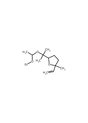 C=CC1(C)CCC(C(C)(C)OC(C)OCC)O1